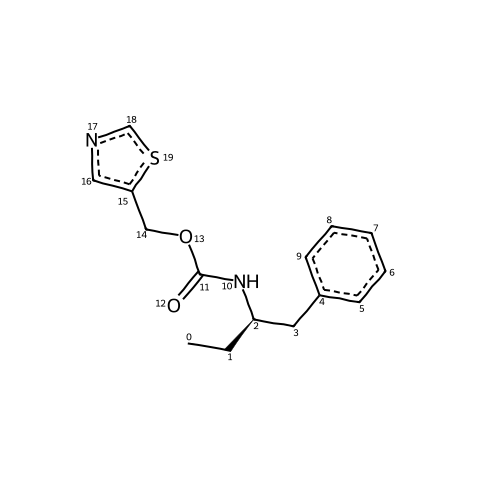 CC[C@H](Cc1ccccc1)NC(=O)OCc1cncs1